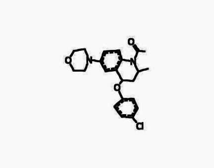 CC(=O)N1c2ccc(N3CCOCC3)cc2C(Oc2ccc(Cl)cc2)CC1C